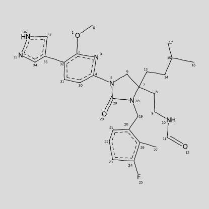 COc1nc(N2CC(CCNC=O)(CCC(C)C)N(Cc3cccc(F)c3C)C2=O)ccc1-c1cn[nH]c1